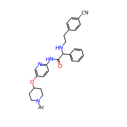 CC(=O)N1CCC(Oc2ccc(NC(=O)C(NCCc3ccc(C#N)cc3)c3ccccc3)nc2)CC1